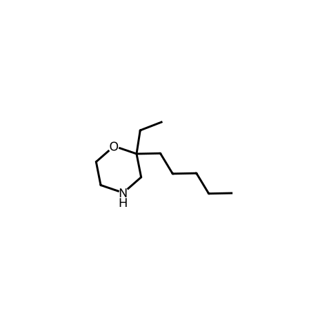 CCCCCC1(CC)CNCCO1